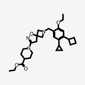 CCOC(=O)C1CCN(C2=NOC3(C2)CN(Cc2cc(C4CC4)c(C4CCC4)cc2OCC)C3)CC1